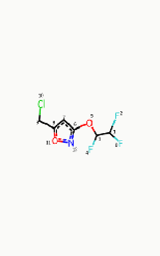 FC(F)C(F)Oc1cc(CCl)on1